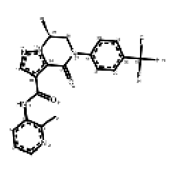 Cc1ncccc1NC(=O)c1cnn2c1C(=O)N(c1ccc(C(F)(F)F)cc1)C[C@@H]2C